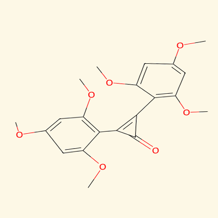 COc1cc(OC)c(-c2c(-c3c(OC)cc(OC)cc3OC)c2=O)c(OC)c1